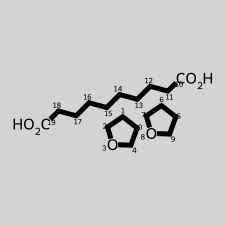 C1CCOC1.C1CCOC1.O=C(O)CCCCCCCCC(=O)O